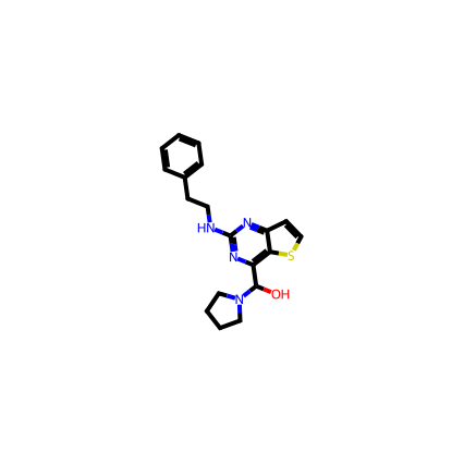 OC(c1nc(NCCc2ccccc2)nc2ccsc12)N1CCCC1